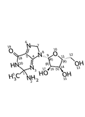 CC1(N)N=C2C(=NCN2[C@@H]2O[C@H](CO)[C@@H](O)[C@H]2O)C(=O)N1